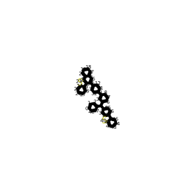 c1ccc(C(c2cccc(-c3ccc(-c4cc5ccccc5c5sc6ccccc6c45)cc3)c2)c2ccc3c(c2)sc2ccccc23)cc1